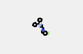 Fc1ccc2ccn(CC3CN(C(c4ccccc4)c4ccccc4)C3)c2c1